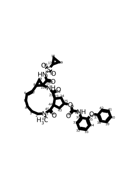 CN1CCCC/C=C/C2CC2(C(=O)NS(=O)(=O)C2CC2)NC(=O)C2CC(OC(=O)Nc3ccccc3Oc3ccccc3)CC2C1=O